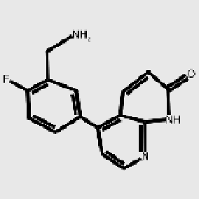 NCc1cc(-c2ccnc3[nH]c(=O)ccc23)ccc1F